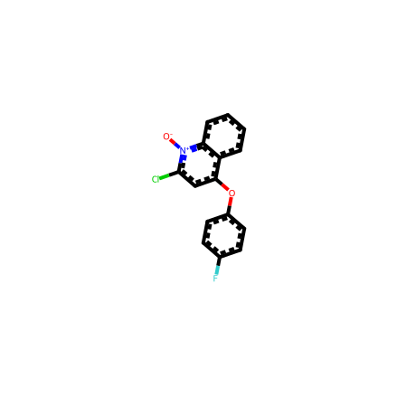 [O-][n+]1c(Cl)cc(Oc2ccc(F)cc2)c2ccccc21